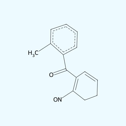 Cc1ccccc1C(=O)C1=C(N=O)CCC=C1